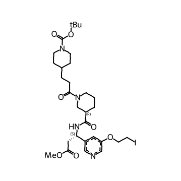 COC(=O)C[C@H](NC(=O)[C@@H]1CCCN(C(=O)CCC2CCN(C(=O)OC(C)(C)C)CC2)C1)c1cncc(OCCI)c1